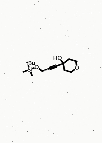 CC(C)(C)[Si](C)(C)OCC#CC1(O)CCOCC1